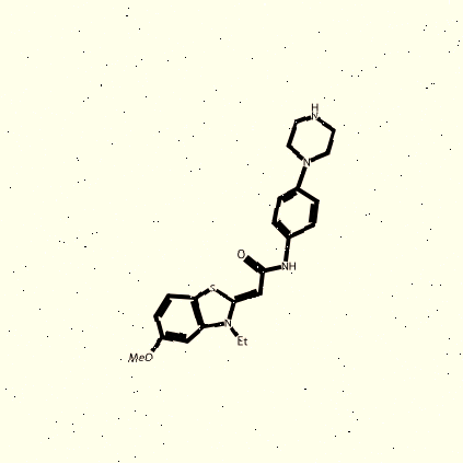 CCN1/C(=C/C(=O)Nc2ccc(N3CCNCC3)cc2)Sc2ccc(OC)cc21